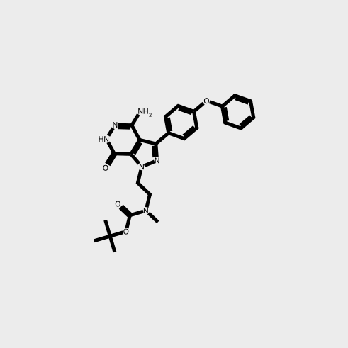 CN(CCn1nc(-c2ccc(Oc3ccccc3)cc2)c2c(N)n[nH]c(=O)c21)C(=O)OC(C)(C)C